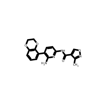 Cc1nocc1C(=O)Nc1ccc(-c2cccc3c2OCCO3)c(N)n1